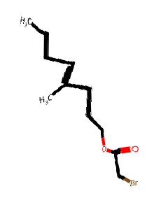 CCC/C=C(\C)CCCOC(=O)CBr